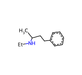 CCNC(C)CCc1ccccc1